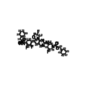 CC(C(F)F)n1c(=O)c(-c2ccc(NS(=O)(=O)Cc3ccccc3)c(F)c2F)cc2cnc(N[C@H]3C[C@H](F)CN(C(=O)OCc4ccccc4)C3)nc21